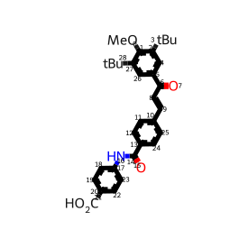 COc1c(C(C)(C)C)cc(C(=O)/C=C/c2ccc(C(=O)Nc3ccc(C(=O)O)cc3)cc2)cc1C(C)(C)C